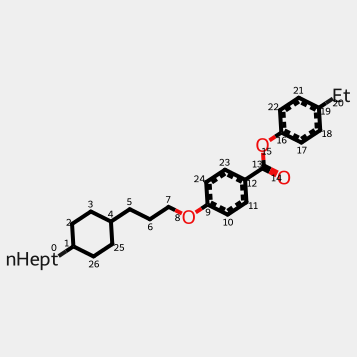 CCCCCCCC1CCC(CCCOc2ccc(C(=O)Oc3ccc(CC)cc3)cc2)CC1